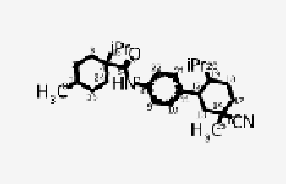 CC1CCC(C(=O)Nc2ccc(C3CC(C)(C#N)CCC3C(C)C)cc2)(C(C)C)CC1